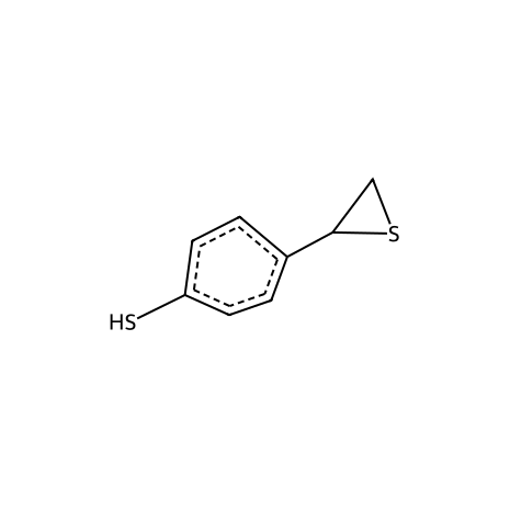 Sc1ccc(C2CS2)cc1